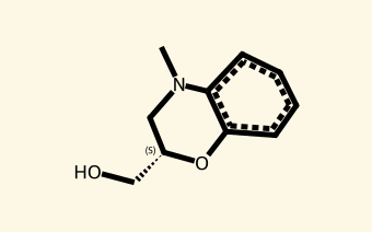 CN1C[C@@H](CO)Oc2ccccc21